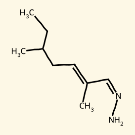 CCC(C)C/C=C(C)/C=N\N